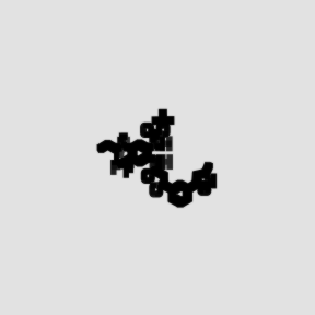 CCCN(C)c1cc(NC(=O)OC(C)(C)C)c(NC(=O)CC(=O)c2cccc(-c3cc(C)no3)c2)cc1C(F)(F)F